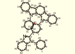 c1ccc(-n2c(-c3ccc(-n4c5ccccc5c5ccc6c7ccccc7n(-c7ccccc7)c6c54)cc3)nc3ccccc32)cc1